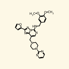 COc1ccc(CNc2ncc(CN3CCN(c4ncccn4)CC3)c3nc(-c4ccco4)nn23)cc1OC